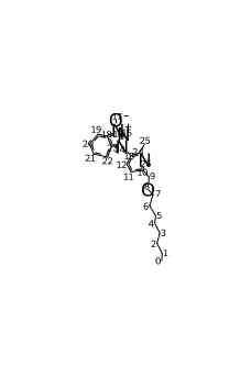 CCCCCCCCOCc1ccc(-n2n[n+]([O-])c3ccccc32)c(C)n1